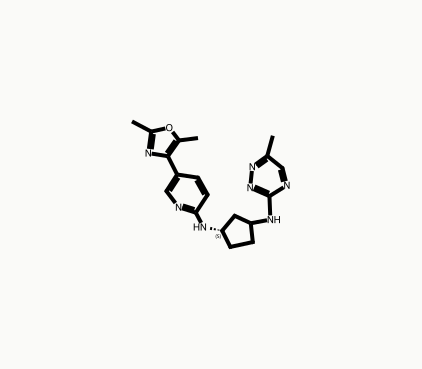 Cc1cnc(NC2CC[C@H](Nc3ccc(-c4nc(C)oc4C)cn3)C2)nn1